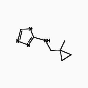 CC1(CNC2=NN=C[N]2)CC1